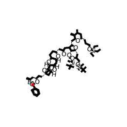 C=C(Br)C[C@@H](CC[C@@]12C[C@H]3O[C@H]4C(O1)[C@H]1O[C@@H](CC(=O)CC5[C@H](CC6O[C@@H](CCCO[Si](CC)(CC)CC)CC(C)C6=C)O[C@H](CC(CO[Si](C)(C)C(C)(C)C)O[Si](C)(C)C(C)(C)C)[C@@H]5OC)CCC1O[C@H]4C3O2)OC(=O)c1ccccc1